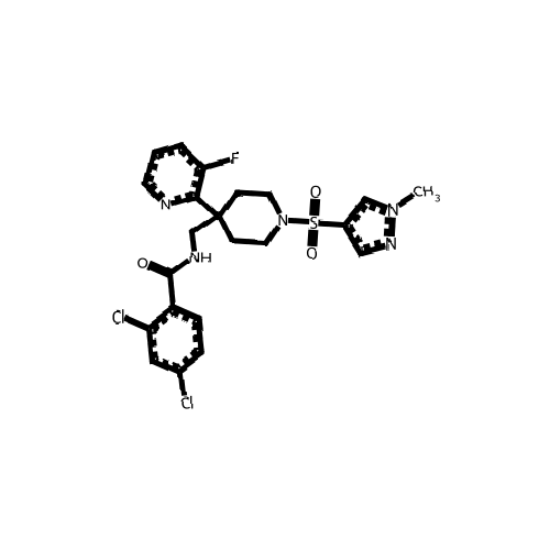 Cn1cc(S(=O)(=O)N2CCC(CNC(=O)c3ccc(Cl)cc3Cl)(c3ncccc3F)CC2)cn1